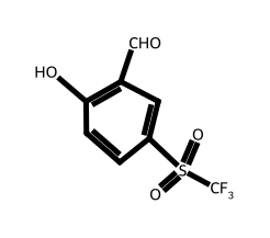 O=Cc1cc(S(=O)(=O)C(F)(F)F)ccc1O